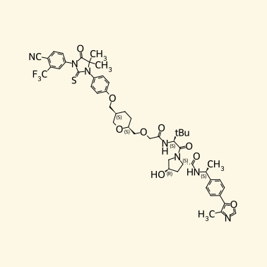 Cc1ncoc1-c1ccc([C@H](C)NC(=O)[C@@H]2C[C@@H](O)CN2C(=O)[C@@H](NC(=O)COC[C@@H]2CC[C@H](COc3ccc(N4C(=S)N(c5ccc(C#N)c(C(F)(F)F)c5)C(=O)C4(C)C)cc3)CO2)C(C)(C)C)cc1